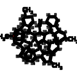 Cc1ccc2c(c1)c1ccccc1n2-c1c(C#N)c(-n2c3ccccc3c3cc(C)ccc32)c(-n2c3ccccc3c3cc(C)ccc32)c(-n2c3ccccc3c3cc(C)ccc32)c1-c1ccccn1